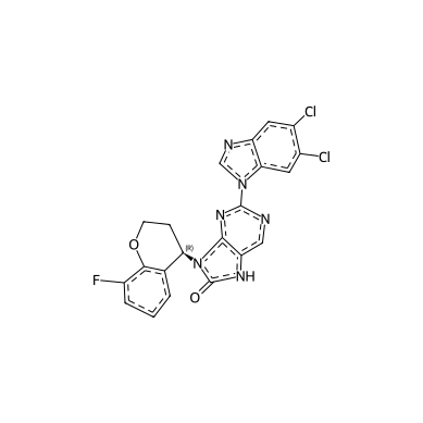 O=c1[nH]c2cnc(-n3cnc4cc(Cl)c(Cl)cc43)nc2n1[C@@H]1CCOc2c(F)cccc21